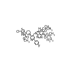 COC(=O)NC1(c2csc(Cl)n2)CCCN(c2cnc(-c3ccc(F)cc3)cc2Cn2cnc3c(N(C(=O)OC(C)(C)C)C(=O)OC(C)(C)C)ncnc32)C1